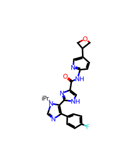 CC(C)n1cnc(-c2ccc(F)cc2)c1-c1nc(C(=O)Nc2ccc(C3COC3)cn2)c[nH]1